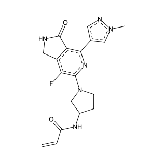 C=CC(=O)NC1CCN(c2nc(-c3cnn(C)c3)c3c(c2F)CNC3=O)C1